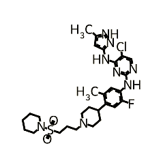 Cc1cc(Nc2nc(Nc3cc(C)c(C4CCN(CCCS(=O)(=O)N5CCCCC5)CC4)cc3F)ncc2Cl)n[nH]1